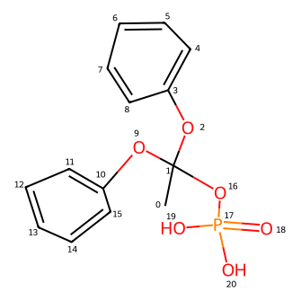 CC(Oc1ccccc1)(Oc1ccccc1)OP(=O)(O)O